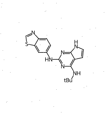 CC(C)(C)Nc1nc(Nc2ccc3ncsc3c2)nc2[nH]ccc12